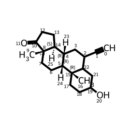 C#CC1C[C@@H]2[C@@H](CC[C@]3(C)C(=O)CC[C@@H]23)[C@@]2(C)CCC(O)CC12